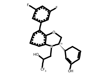 OC1=CC([C@H]2COc3c(-c4cc(F)cc(F)c4)cccc3N2CC(O)C(F)(F)F)CC=C1